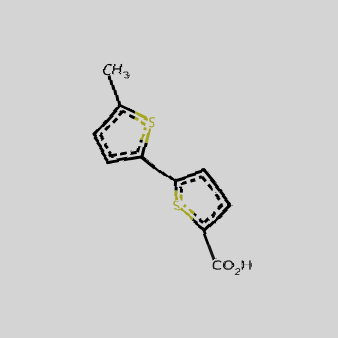 Cc1ccc(-c2ccc(C(=O)O)s2)s1